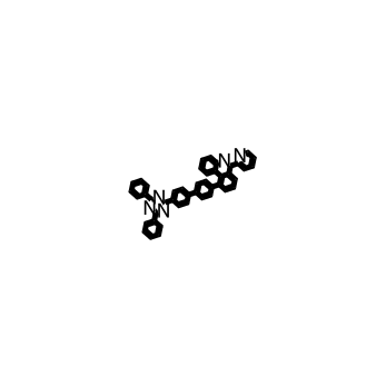 c1ccc(-c2nc(-c3ccccc3)nc(-c3ccc(-c4ccc(-c5cccc6c(-c7ccccn7)nc7ccccc7c56)cc4)cc3)n2)cc1